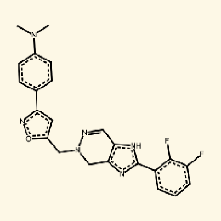 CN(C)c1ccc(-c2cc(CN3Cc4nc(-c5cccc(F)c5F)[nH]c4C=N3)on2)cc1